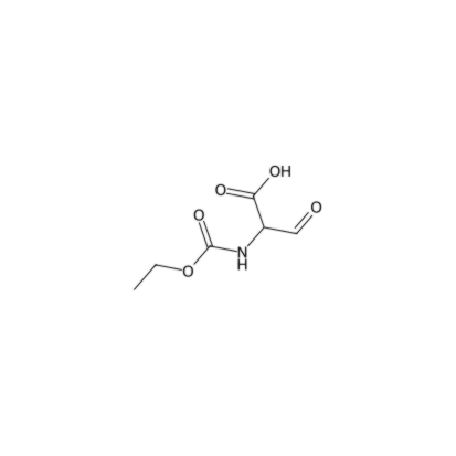 CCOC(=O)NC(C=O)C(=O)O